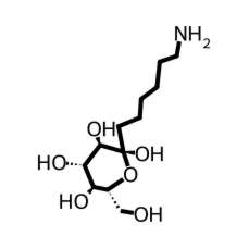 NCCCCCC[C@]1(O)O[C@H](CO)[C@@H](O)[C@H](O)[C@H]1O